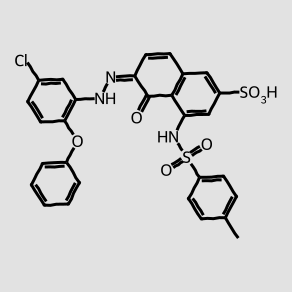 Cc1ccc(S(=O)(=O)Nc2cc(S(=O)(=O)O)cc3c2C(=O)/C(=N\Nc2cc(Cl)ccc2Oc2ccccc2)C=C3)cc1